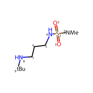 CNS(=O)(=O)NCCCNC(C)(C)C